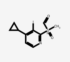 C[SH](=O)(C=O)c1nccc(C2CC2)c1I